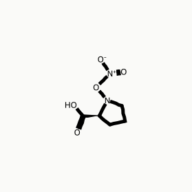 O=C(O)[C@@H]1CCCN1O[N+](=O)[O-]